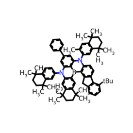 Cc1cc2c(cc1N1c3cc(-c4ccccc4)cc4c3B(c3cc5c(cc3N4c3ccc4c(c3)C(C)(C)CCC4(C)C)C(C)(C)CCC5(C)C)c3c1ccc1c3Cc3cccc(C(C)(C)C)c3-1)C(C)(C)CCC2(C)C